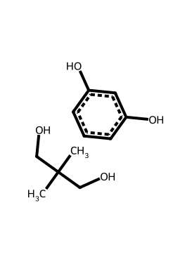 CC(C)(CO)CO.Oc1cccc(O)c1